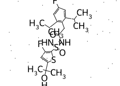 CC(C)c1cc(F)cc(C(C)C)c1CC(=O)N[S@@](=N)(=O)c1sc(C(C)(C)O)cc1F